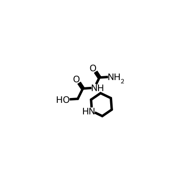 C1CCNCC1.NC(=O)NC(=O)CO